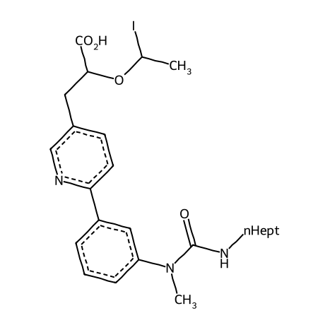 CCCCCCCNC(=O)N(C)c1cccc(-c2ccc(CC(OC(C)I)C(=O)O)cn2)c1